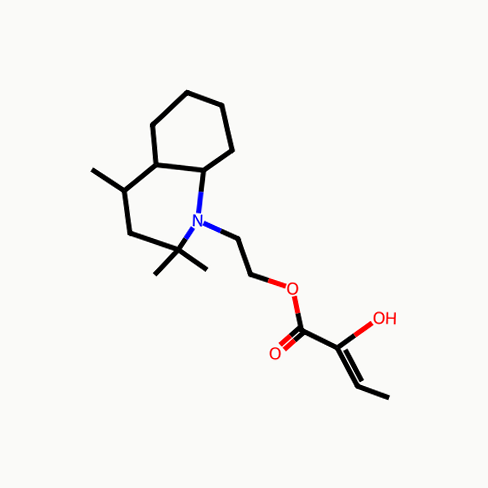 CC=C(O)C(=O)OCCN1C2CCCCC2C(C)CC1(C)C